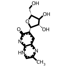 Cc1c[nH]c2nc(=O)c([C@@H]3O[C@H](CO)C(O)[C@@H]3O)cc-2n1